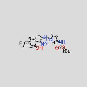 Cc1nc(N2CC[C@@H](NC(=O)OC(C)(C)C)C2)nnc1-c1ccc(C(F)(F)F)cc1O